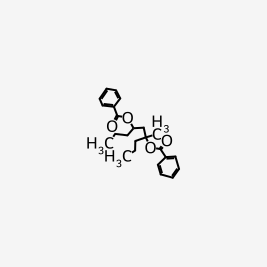 CCCC(CC(C)(CCC)OC(=O)c1ccccc1)OC(=O)c1ccccc1